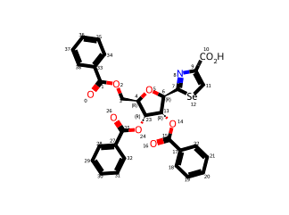 O=C(OC[C@H]1O[C@@H](c2nc(C(=O)O)c[se]2)[C@H](OC(=O)c2ccccc2)[C@@H]1OC(=O)c1ccccc1)c1ccccc1